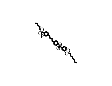 CCCCCCCC(=O)Oc1ccc(C(=O)Oc2ccc(CCCCc3ccc(C(=O)OCCCCC)c(F)c3)cc2)cc1